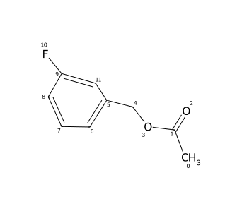 CC(=O)OCc1cccc(F)c1